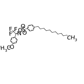 CCCCCCCCCCCCc1ccc(S(=O)(=O)O/N=C(/c2ccc(OC)cc2)C(F)(F)F)cc1